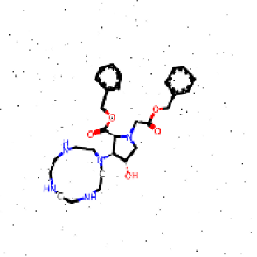 O=C(CN1C[C@H](O)[C@@H](N2CCNCCNCCNCC2)[C@H]1C(=O)OCc1ccccc1)OCc1ccccc1